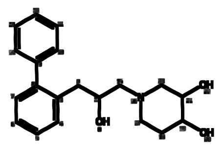 OC(Cc1ccccc1-c1ccccc1)CN1CCC(O)C(O)C1